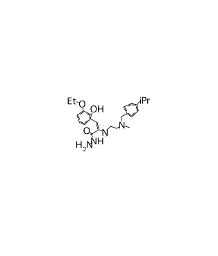 CCOc1cccc(/C=C(\C(=O)NN)N(C)CCN(C)Cc2ccc(C(C)C)cc2)c1O